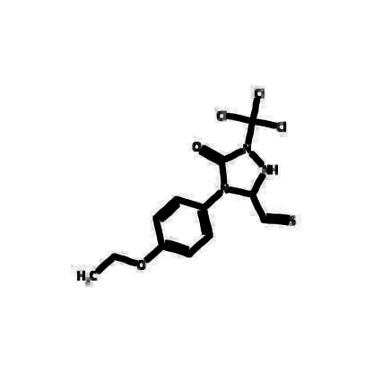 CCOc1ccc(N2C(=O)N(C(Cl)(Cl)Cl)NC2C=S)cc1